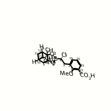 COc1c(C[C@@H](Cl)B2OC3C[C@@H]4C[C@@H](C4(C)C)[C@]3(C)O2)cccc1C(=O)O